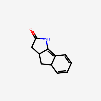 O=C1CC2CC3C=CC=CC3=C2N1